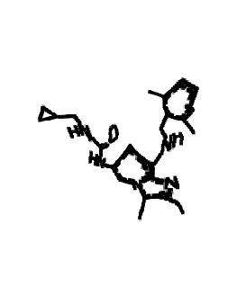 Cc1cccc(C)c1CNc1cc(NC(=O)NCC2CC2)cn2c(C)c(C)nc12